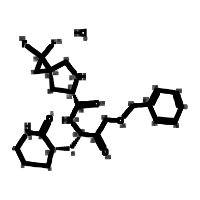 Cl.O=C1NCCC[C@H]1C[C@H](NC(=O)[C@@H]1C[C@@]2(CN1)CC2(F)F)C(=O)COCc1ccccc1